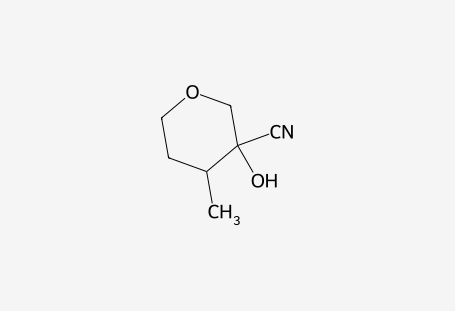 CC1CCOCC1(O)C#N